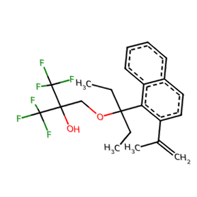 C=C(C)c1ccc2ccccc2c1C(CC)(CC)OCC(O)(C(F)(F)F)C(F)(F)F